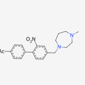 CC(=O)c1ccc(-c2ccc(CN3CCCN(C)CC3)cc2[N+](=O)[O-])cc1